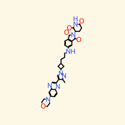 Cc1nn(C2CC(CCCNc3ccc4c(c3)C(=O)N(C3CCC(=O)NC3=O)C4=O)C2)cc1-c1cnc2cc(N3CCOCC3)ccc2n1